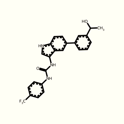 CC(O)c1cccc(-c2ccc3[nH]cc(NC(=O)Nc4ccc(C(F)(F)F)cc4)c3c2)c1